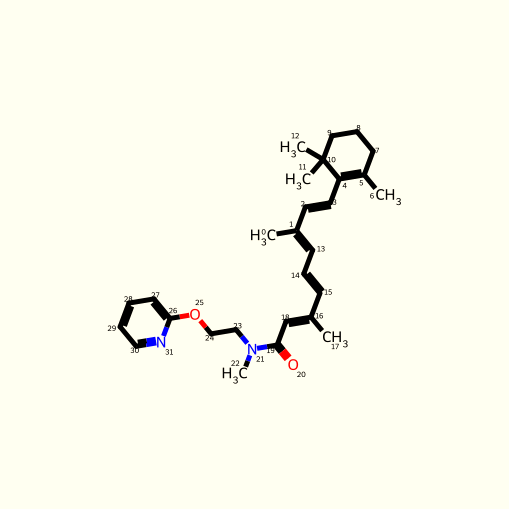 CC(C=CC1=C(C)CCCC1(C)C)=CC=CC(C)=CC(=O)N(C)CCOc1ccccn1